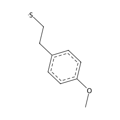 COc1ccc(CC[S])cc1